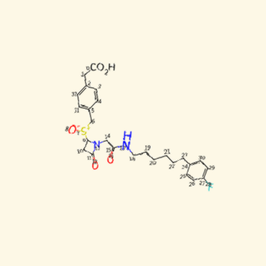 O=C(O)Cc1ccc(C[S+]([O-])C2CC(=O)N2CC(=O)NCCCCCCc2ccc(F)cc2)cc1